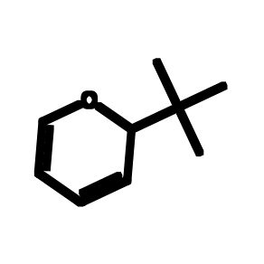 CC(C)(C)C1C=CC=CO1